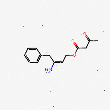 CC(=O)CC(=O)OC/C=C(/N)Cc1ccccc1